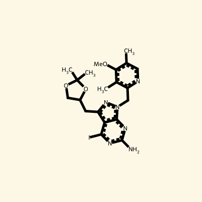 COc1c(C)cnc(Cn2nc(CC3COC(C)(C)O3)c3c(I)nc(N)nc32)c1C